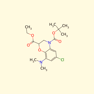 CCOC(=O)C1CN(C(=O)OC(C)(C)C)c2cc(Cl)cc(N(C)C)c2O1